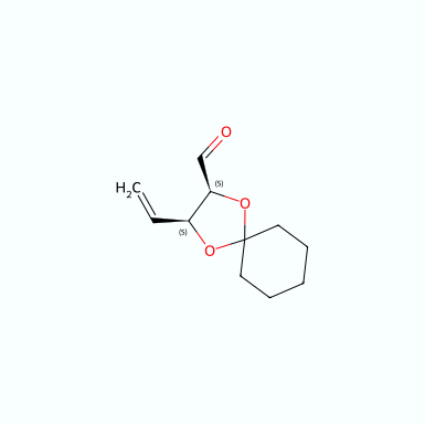 C=C[C@@H]1OC2(CCCCC2)O[C@@H]1C=O